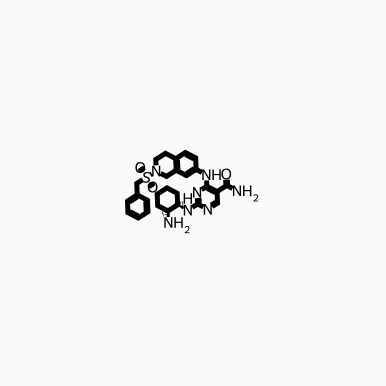 NC(=O)c1cnc(N[C@@H]2CCCC[C@@H]2N)nc1Nc1ccc2c(c1)CN(S(=O)(=O)Cc1ccccc1)CC2